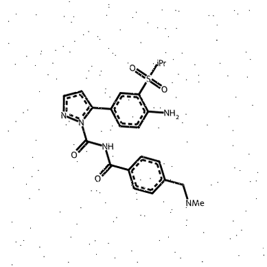 CNCc1ccc(C(=O)NC(=O)n2nccc2-c2ccc(N)c(S(=O)(=O)C(C)C)c2)cc1